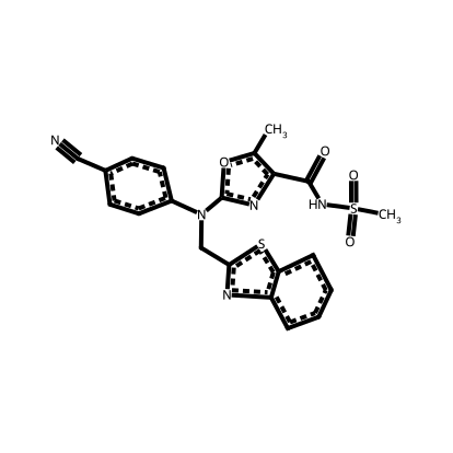 Cc1oc(N(Cc2nc3ccccc3s2)c2ccc(C#N)cc2)nc1C(=O)NS(C)(=O)=O